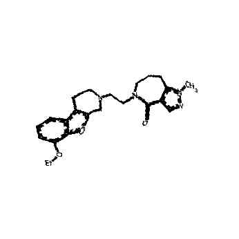 CCOc1cccc2c3c(oc12)CN(CCN1CCCc2c(cnn2C)C1=O)CC3